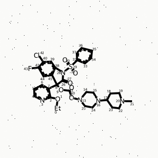 CCOc1ncccc1C1(OC(=O)ON2CCN(C3CCN(C)CC3)CC2)C(=O)N(S(=O)(=O)c2ccccc2)c2cc(Cl)c(F)cc21